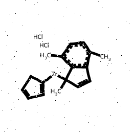 Cc1ccc(C)c2c1C=C[C]2(C)[Zr][C]1=CC=CC1.Cl.Cl